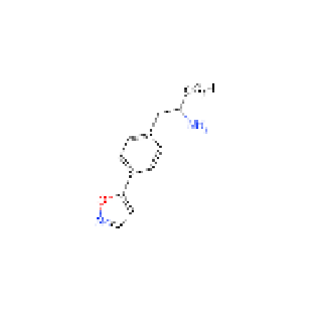 NC(Cc1ccc(-c2ccno2)cc1)C(=O)O